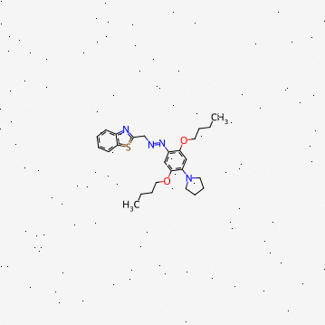 CCCCOc1cc(N2CCCC2)c(OCCCC)cc1N=NCc1nc2ccccc2s1